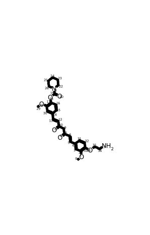 COc1cc(C=CC(=O)CC(=O)C=Cc2ccc(OC(=O)N3CCCCC3)c(OC)c2)ccc1OCCN